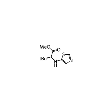 COC(=O)[C@@H](Nc1cncs1)C(C)(C)C